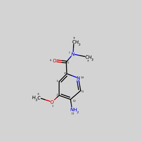 COc1cc(C(=O)N(C)C)ncc1N